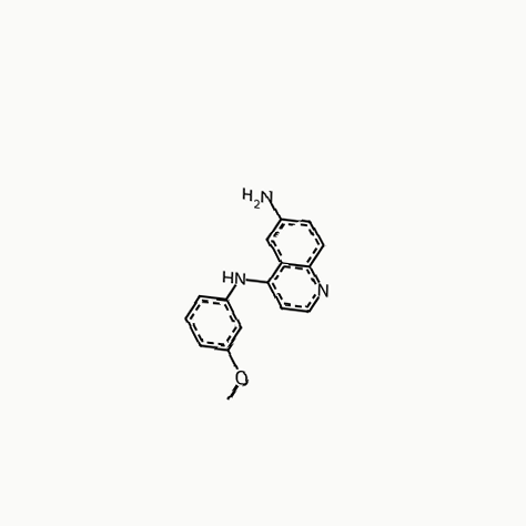 COc1cccc(Nc2ccnc3ccc(N)cc23)c1